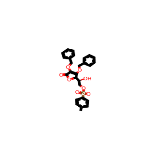 Cc1ccc(S(=O)(=O)OC[C@H](O)C2OC(=O)C(OCc3ccccc3)=C2OCc2ccccc2)cc1